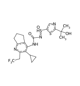 CC(C)(O)c1ncc(/[SH](=O)=N/C(=O)Nc2c3c(nc(CC(F)(F)F)c2C2CC2)CCC3)s1